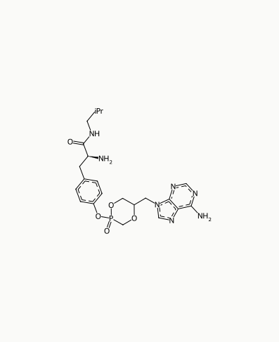 CC(C)CNC(=O)[C@@H](N)Cc1ccc(OP2(=O)COC(Cn3cnc4c(N)ncnc43)CO2)cc1